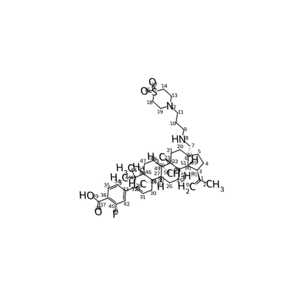 C=C(C)[C@@H]1CC[C@]2(CNCCCN3CCS(=O)(=O)CC3)CC[C@]3(C)[C@H](CC[C@@H]4[C@@]5(C)CC=C(c6ccc(C(=O)O)c(F)c6)C(C)(C)[C@@H]5CC[C@]43C)[C@@H]12